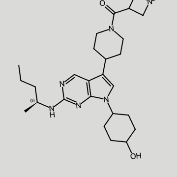 CCC[C@H](C)Nc1ncc2c(C3CCN(C(=O)C4CN(C)C4)CC3)cn(C3CCC(O)CC3)c2n1